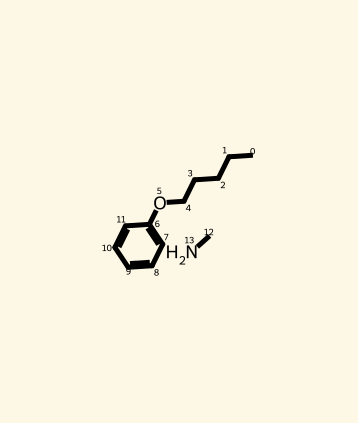 CCCCCOc1ccccc1.CN